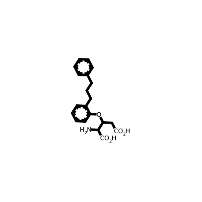 NC(C(=O)O)C(CC(=O)O)Oc1ccccc1CCCc1ccccc1